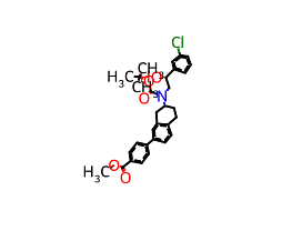 COC(=O)c1ccc(-c2ccc3c(c2)C[C@@H](N(C[C@H](O)c2cccc(Cl)c2)C(=O)OC(C)(C)C)CC3)cc1